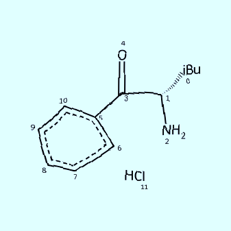 CCC(C)[C@H](N)C(=O)c1ccccc1.Cl